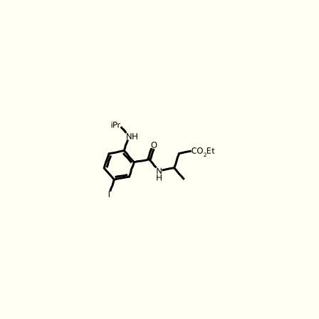 CCOC(=O)CC(C)NC(=O)c1cc(I)ccc1NC(C)C